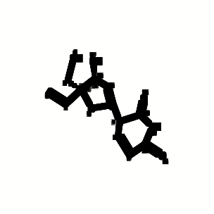 C=C[C@]1(CO)OC(n2ccc(=O)[nH]c2=O)=C[C@@H]1O